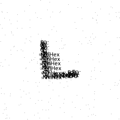 CCCCCC[n+]1ccn(C)c1.CCCCCC[n+]1ccn(C)c1.CCCCCC[n+]1ccn(C)c1.CCCCCC[n+]1ccn(C)c1.CCCCCC[n+]1ccn(C)c1.CCCCCC[n+]1ccn(C)c1.CCCCCC[n+]1ccn(C)c1.CCCCCC[n+]1ccn(C)c1.O=P([O-])([O-])F.O=P([O-])([O-])F.O=P([O-])([O-])F.O=P([O-])([O-])F